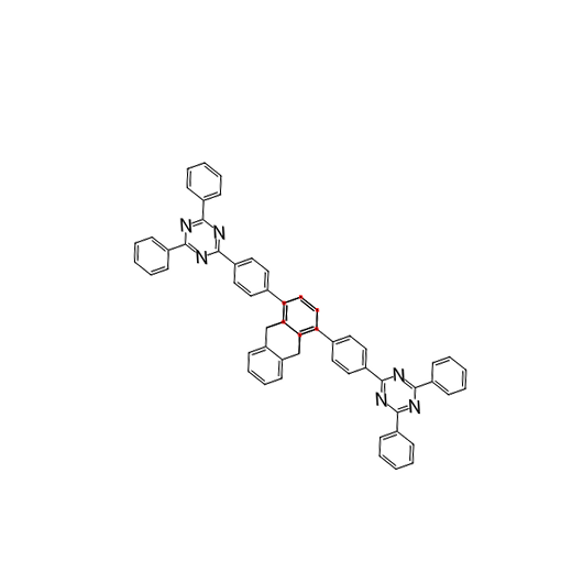 c1ccc(-c2nc(-c3ccccc3)nc(-c3ccc(-c4ccc(-c5ccc(-c6nc(-c7ccccc7)nc(-c7ccccc7)n6)cc5)c5c4C4c6ccccc6C5c5ccccc54)cc3)n2)cc1